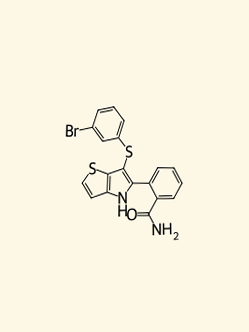 NC(=O)c1ccccc1-c1[nH]c2ccsc2c1Sc1cccc(Br)c1